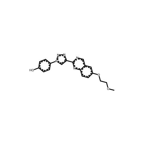 COCCOc1ccc2nc(-c3cn(-c4ccc(O)cc4)nn3)ncc2c1